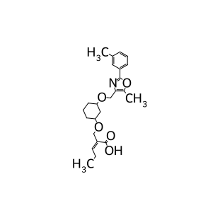 CCC=C(COC1CCCC(OCc2nc(-c3cccc(C)c3)oc2C)C1)C(=O)O